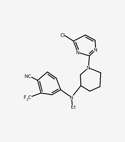 CCN(c1ccc(C#N)c(C(F)(F)F)c1)C1CCCN(c2nccc(Cl)n2)C1